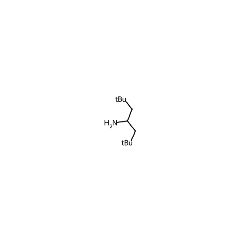 CC(C)(C)CC(N)CC(C)(C)C